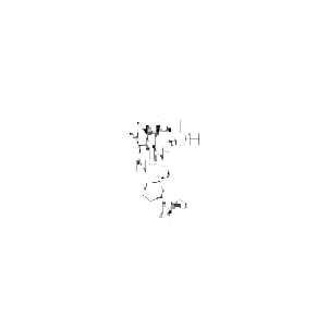 Cn1nnc(CN(Cc2ccc([N+](=O)[O-])cc2)C(=O)NCC(=O)O)n1